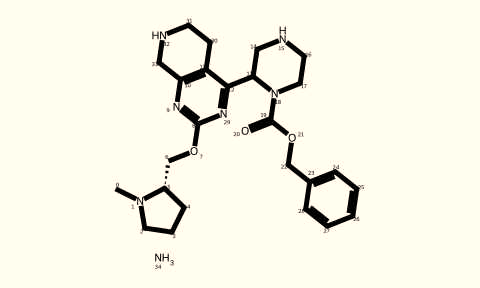 CN1CCC[C@H]1COc1nc2c(c(C3CNCCN3C(=O)OCc3ccccc3)n1)CCNC2.N